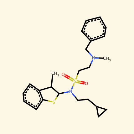 CC1c2ccccc2SC1N(CCC1CC1)S(=O)(=O)CCN(C)Cc1ccccc1